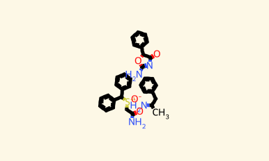 CC(N)Cc1ccccc1.NC(=O)C[S+]([O-])C(c1ccccc1)c1ccccc1.NC1=NC(=O)C(c2ccccc2)O1